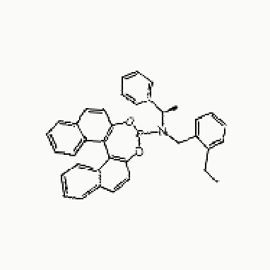 CCc1ccccc1CN([C@H](C)c1ccccc1)p1oc2ccc3ccccc3c2c2c(ccc3ccccc32)o1